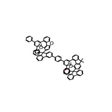 CC1(C)c2cccc(-c3cc(-c4ccc(-c5ccc6c(c5)-c5ccccc5C65c6ccccc6Oc6c5ccc5oc7cccc(-c8cc(-c9ccccc9)cc(-c9ccccc9)n8)c7c65)cc4)cc(-c4ccccc4)n3)c2-c2c1ccc1c2Oc2ccccc2C12c1ccccc1-c1ccccc12